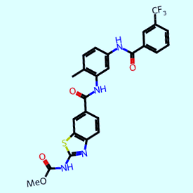 COC(=O)Nc1nc2ccc(C(=O)Nc3cc(NC(=O)c4cccc(C(F)(F)F)c4)ccc3C)cc2s1